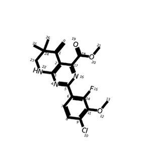 C=C1c2c(nc(-c3ccc(Cl)c(OC)c3F)nc2C(=O)OC)NCC1(C)C